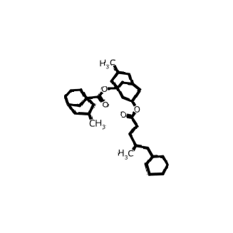 CC(CCC(=O)OC1CC2CC(C)CC(OC(=O)C34CCCC(CC(C)C3)C4)(C2)C1)CC1CCCCC1